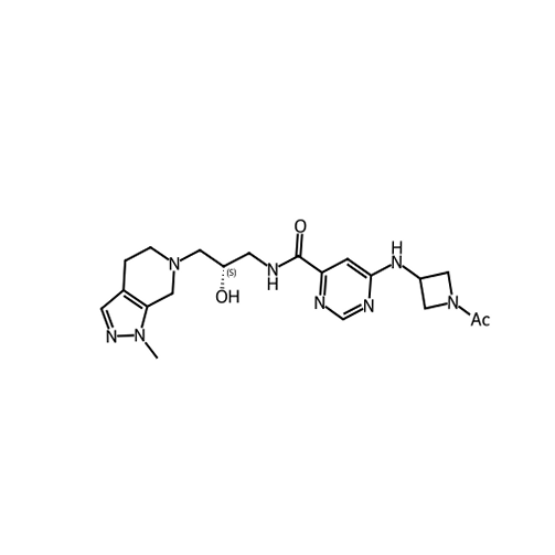 CC(=O)N1CC(Nc2cc(C(=O)NC[C@H](O)CN3CCc4cnn(C)c4C3)ncn2)C1